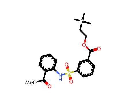 COC(=O)c1ccccc1NS(=O)(=O)c1cccc(C(=O)OCC[Si](C)(C)C)c1